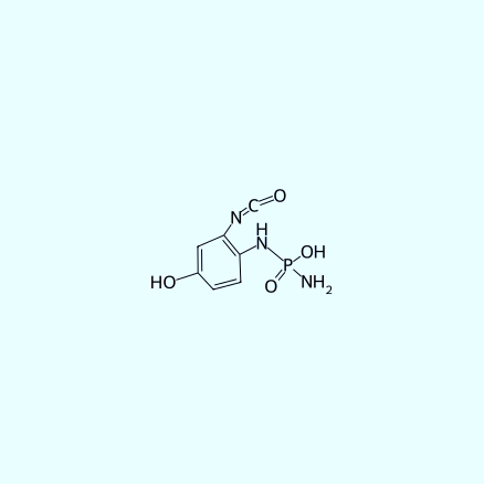 NP(=O)(O)Nc1ccc(O)cc1N=C=O